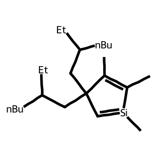 CCCCC(CC)CC1(CC(CC)CCCC)C=[Si](C)C(C)=C1C